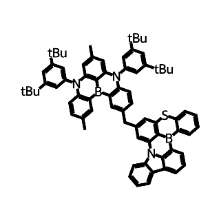 Cc1ccc2c(c1)B1c3cc(Cc4cc5c6c(c4)-n4c7ccccc7c7cccc(c74)B6c4ccccc4S5)ccc3N(c3cc(C(C)(C)C)cc(C(C)(C)C)c3)c3cc(C)cc(c31)N2c1cc(C(C)(C)C)cc(C(C)(C)C)c1